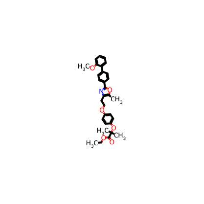 CCOC(=O)C(C)(C)Oc1ccc(OCCc2nc(-c3ccc(-c4ccccc4OC)cc3)oc2C)cc1